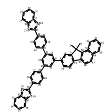 CC1(C)c2cc(-c3cc(-c4ccc(-c5nc6ccccc6s5)cc4)cc(-c4ccc(-c5nc6ccccc6s5)cc4)c3)ccc2-c2ccc3ccccc3c21